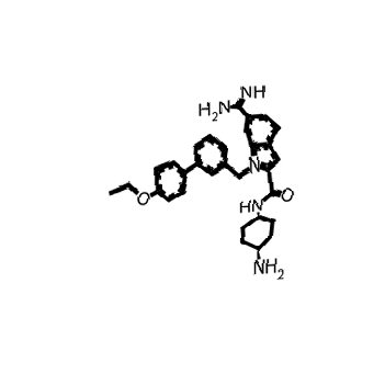 CCOc1ccc(-c2cccc(Cn3c(C(=O)N[C@H]4CC[C@H](N)CC4)cc4ccc(C(=N)N)cc43)c2)cc1